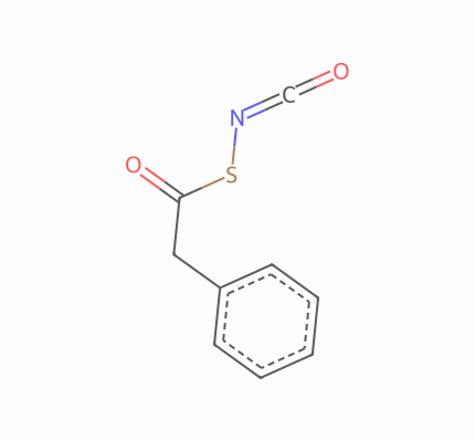 O=C=NSC(=O)Cc1ccccc1